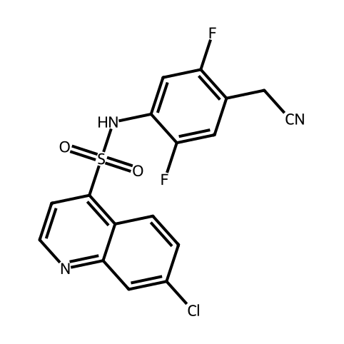 N#CCc1cc(F)c(NS(=O)(=O)c2ccnc3cc(Cl)ccc23)cc1F